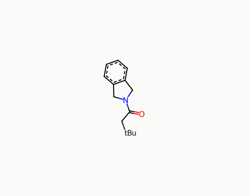 CC(C)(C)CC(=O)N1Cc2ccccc2C1